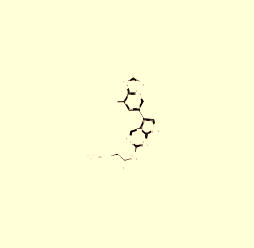 COC[C@H](C)Nc1ncc2c(-c3cc(F)c4ncnn4c3)c[nH]c2n1